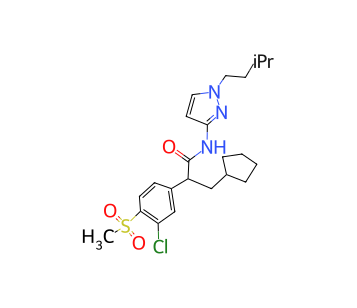 CC(C)CCn1ccc(NC(=O)C(CC2CCCC2)c2ccc(S(C)(=O)=O)c(Cl)c2)n1